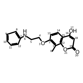 Cc1c(OCCNc2ccccc2)ccc2c(O)cc(=O)oc12